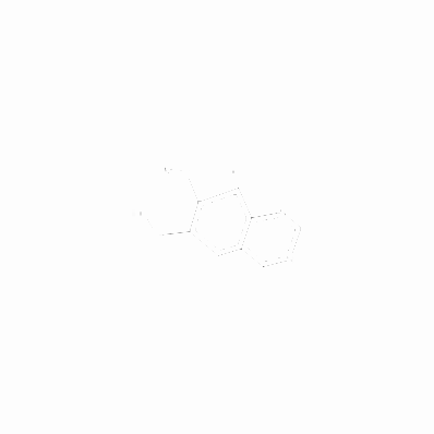 CCC(C)Oc1cc2cncnc2cc1OC.Cl